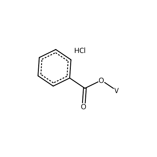 Cl.O=C([O][V])c1ccccc1